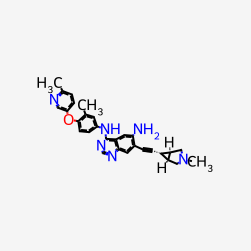 Cc1ccc(Oc2ccc(Nc3ncnc4cc(C#C[C@@H]5[C@H]6CN(C)C[C@@H]56)c(N)cc34)cc2C)cn1